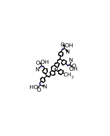 Cc1ccc(N2c3ccc(C=C(c4ccc(/C=C(\C#N)C(=O)O)cc4)c4ccc(/C=C(\C#N)C(=O)O)cc4)cc3C=Cc3cc(C=C(c4ccc(/C=C(\C#N)C(=O)O)cc4)c4ccc(/C=C(\C#N)C(=O)O)cc4)ccc32)cc1